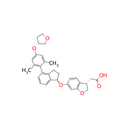 Cc1cc(O[C@@H]2CCOC2)cc(C)c1-c1cccc2c1CC[C@H]2Oc1ccc2c(c1)OC[C@H]2CC(=O)O